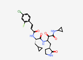 O=C(/C=C/c1ccc(Cl)cc1F)N[C@@H](CC1CC1)C(=O)NC(C[C@@H]1CCNC1=O)C(=O)C(=O)NC1CC1